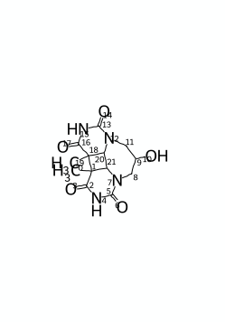 CC12C(=O)NC(=O)N3CC(O)CN4C(=O)NC(=O)C1(C)C4C32